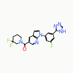 O=C(c1cnc2c(ccn2-c2cc(F)cc(-c3nnc[nH]3)c2)c1)N1CCCC(F)(F)C1